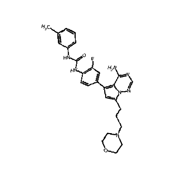 Cc1cccc(NC(=O)Nc2ccc(-c3cc(CCCN4CCOCC4)n4ncnc(N)c34)cc2F)c1